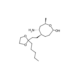 CCCCCC1(CC[C@@H]2CCC(O)O[C@H](C)C[C@H]2N)OCCO1